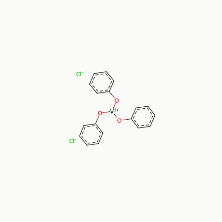 [Cl-].[Cl-].c1ccc([O][V+2]([O]c2ccccc2)[O]c2ccccc2)cc1